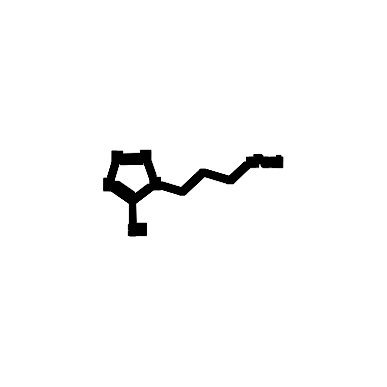 CCCCCCCCn1nnnc1S